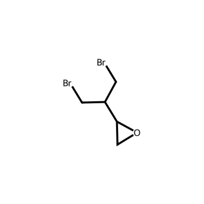 BrCC(CBr)C1CO1